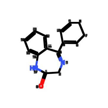 O=C1CN=C(C2=CCCC=C2)c2ccccc2N1